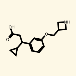 O=C(O)CC(c1cccc(OCC2CNC2)c1)C1CC1